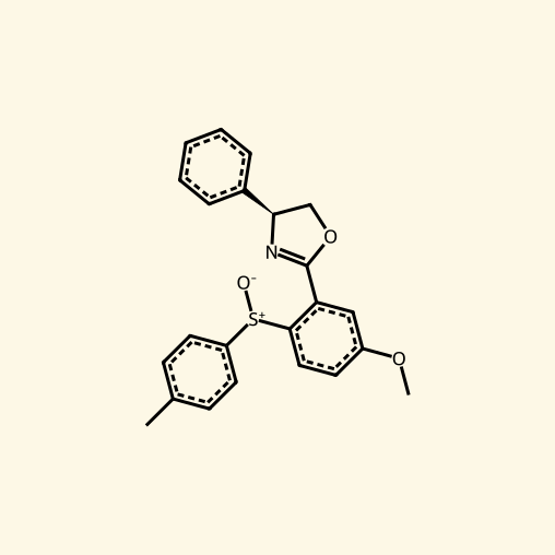 COc1ccc([S+]([O-])c2ccc(C)cc2)c(C2=N[C@@H](c3ccccc3)CO2)c1